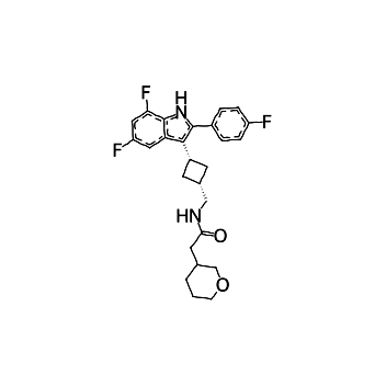 O=C(CC1CCCOC1)NC[C@H]1C[C@@H](c2c(-c3ccc(F)cc3)[nH]c3c(F)cc(F)cc32)C1